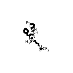 CCc1ccc2nc(Nc3cc(Cc4ccccc4)nc(N(C)CCCCOC(=O)C(F)(F)F)n3)sc2c1